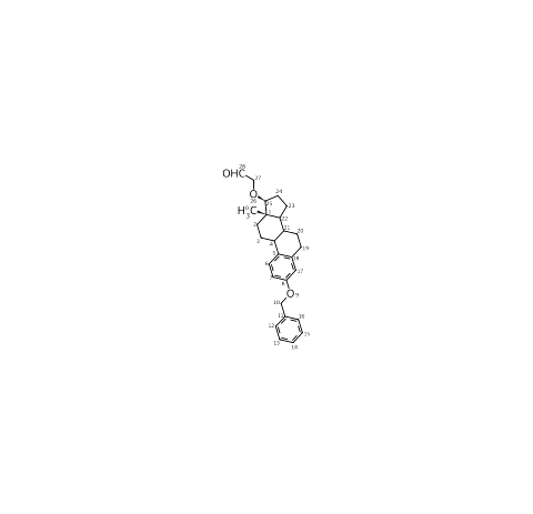 C[C@]12CCC3c4ccc(OCc5ccccc5)cc4CCC3C1CC[C@@H]2OCC=O